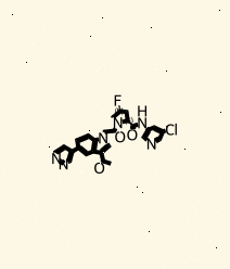 CC(=O)c1cn(CC(=O)N2C[C@H](F)C[C@H]2C(=O)Nc2cncc(Cl)c2)c2ccc(-c3ccnnc3)cc12